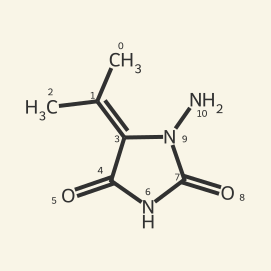 CC(C)=C1C(=O)NC(=O)N1N